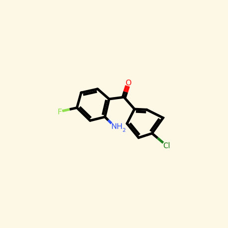 Nc1cc(F)ccc1C(=O)c1ccc(Cl)cc1